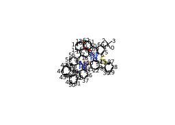 CC(C)(C)c1ccc(N2c3cc4ccccc4c4c3B(c3ccc5c(sc6ccccc65)c32)N2c3ccccc3C(c3ccccc3)(c3ccccc3)c3cccc-4c32)c(-c2ccccc2)c1